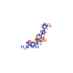 COc1cc(-n2ccc(N3CCOC(C(C)(O)C(=O)Nc4cnc5c(N)noc5c4)C3=O)n2)ccn1